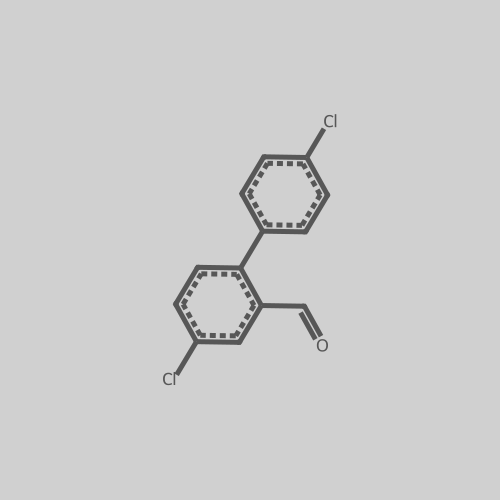 O=Cc1cc(Cl)ccc1-c1ccc(Cl)cc1